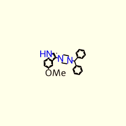 COc1ccc2[nH][c]c(N3CCN(C(c4ccccc4)c4ccccc4)CC3)c2c1